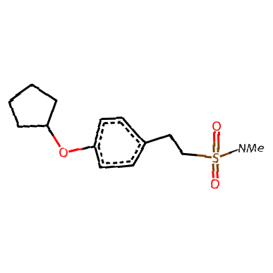 CNS(=O)(=O)CCc1ccc(OC2CCCC2)cc1